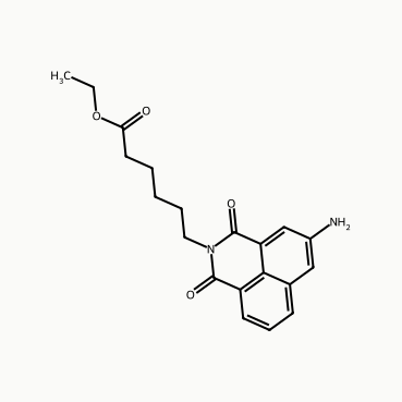 CCOC(=O)CCCCCN1C(=O)c2cccc3cc(N)cc(c23)C1=O